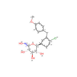 CCOc1ccc(Cc2cc([C@@H]3O/C(=N/O)[C@@H](O)[C@H](O)[C@H]3O)ccc2Cl)cc1